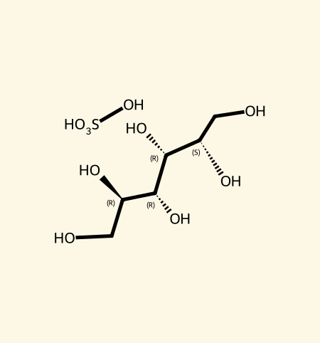 O=S(=O)(O)O.OC[C@@H](O)[C@@H](O)[C@H](O)[C@@H](O)CO